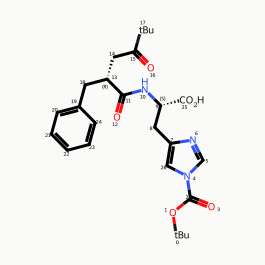 CC(C)(C)OC(=O)n1cnc(C[C@H](NC(=O)[C@@H](CC(=O)C(C)(C)C)Cc2ccccc2)C(=O)O)c1